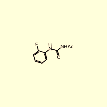 CC(=O)NC(=O)Nc1ccccc1F